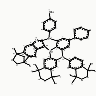 CC(C)(C)c1ccc(N2c3cc(-c4ccccc4)cc4c3B(c3cc5c(cc3N4c3ccc4c(c3)C(C)(C)CCC4(C)C)C(C)(C)CCC5(C)C)c3c2oc2cc4c(cc32)C2(C)CCC4(C)C2)cc1